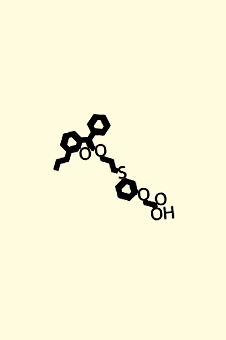 CCCc1cccc2c(-c3ccccc3)c(OCCCSc3cccc(OCC(=O)O)c3)oc12